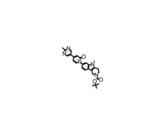 Cc1ncc(-c2ccn(-c3ccc4c5c(n(C)c4c3)CCN(C(=O)OC(C)(C)C)C5)c(=O)c2)cn1